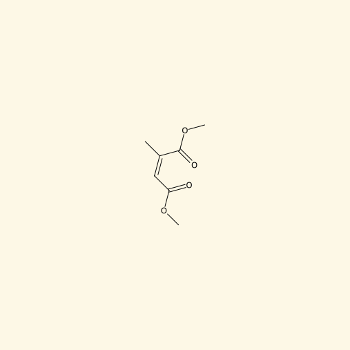 COC(=O)/C=C(/C)C(=O)OC